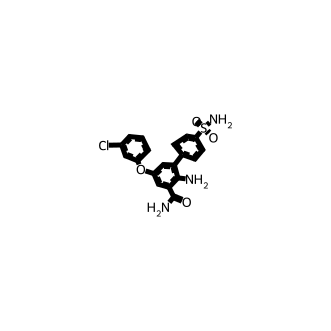 NC(=O)c1cc(Oc2cccc(Cl)c2)cc(-c2ccc(S(N)(=O)=O)cc2)c1N